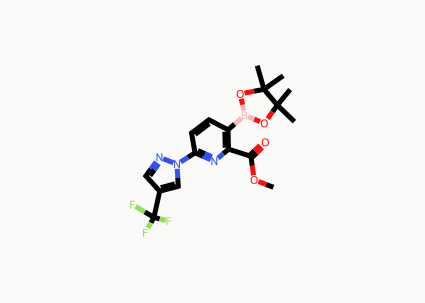 COC(=O)c1nc(-n2cc(C(F)(F)F)cn2)ccc1B1OC(C)(C)C(C)(C)O1